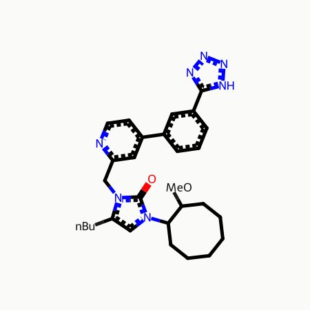 CCCCc1cn(C2CCCCCCC2OC)c(=O)n1Cc1cc(-c2cccc(-c3nnn[nH]3)c2)ccn1